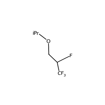 CC(C)OCC(F)C(F)(F)F